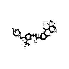 Cc1ccc(C(=O)Nc2ccc(CN3CCN(C)CC3)c(C(F)(F)F)c2)cc1C(C)c1cncc2nc[nH]c12